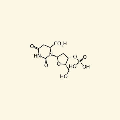 O=C1CC(C(=O)O)N([C@H]2C[C@H](OP(=O)(O)O)[C@@H](CO)O2)C(=O)N1